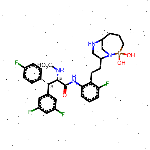 O=C(O)N[C@H](C(=O)Nc1cccc(F)c1CCC1CNC2CCCS(O)(O)N1C2)[C@@H](c1ccc(F)cc1)c1cc(F)cc(F)c1